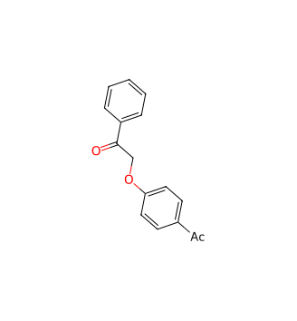 CC(=O)c1ccc(OCC(=O)c2ccccc2)cc1